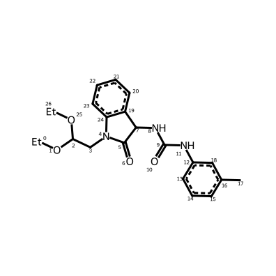 CCOC(CN1C(=O)C(NC(=O)Nc2cccc(C)c2)c2ccccc21)OCC